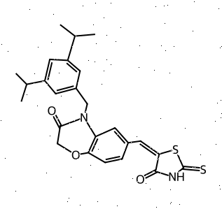 CC(C)c1cc(CN2C(=O)COc3ccc(C=C4SC(=S)NC4=O)cc32)cc(C(C)C)c1